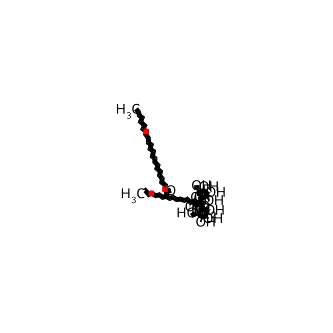 CCCCCCCCCCCCCCCCCCCCCCCCCC(=O)C(CCCCCCC)CCCCCC[C@@H](O)[C@@H](O)[C@H](N)C(O[C@H]1O[C@H](CO)[C@H](O)[C@H](O)[C@H]1[16OH])[C@H]1O[C@H](CO)[C@@H](O)[C@H](O)[C@H]1O